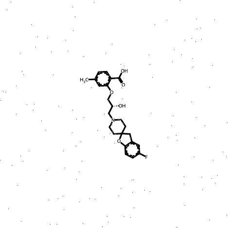 Cc1ccc(C(=O)O)c(OC[C@H](O)CN2CCC3(CC2)Cc2cc(F)ccc2O3)c1